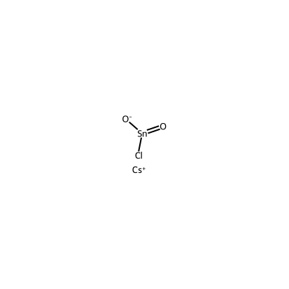 [Cs+].[O]=[Sn]([O-])[Cl]